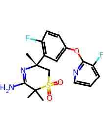 CC1(C)C(N)=N[C@](C)(c2cc(Oc3ncccc3F)ccc2F)CS1(=O)=O